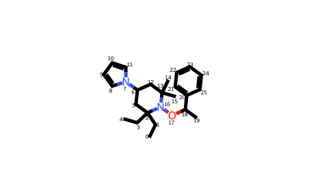 CCC1(CC)CC(n2cccc2)CC(C)(C)N1OC(C)c1ccccc1